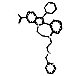 O=C(O)c1ccc2c(C3CCCCC3)c3n(c2c1)CCN(CCNCc1ccccn1)c1ccccc1-3